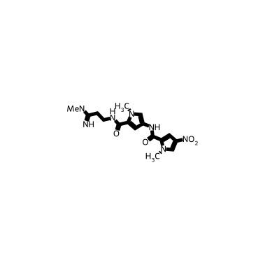 CNC(=N)CCNC(=O)c1cc(NC(=O)c2cc([N+](=O)[O-])cn2C)cn1C